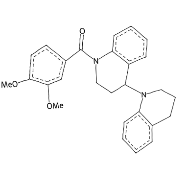 COc1ccc(C(=O)N2CCC(N3CCCc4ccccc43)c3ccccc32)cc1OC